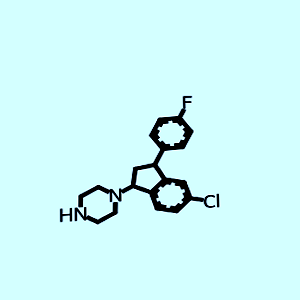 Fc1ccc(C2CC(N3CCNCC3)c3ccc(Cl)cc32)cc1